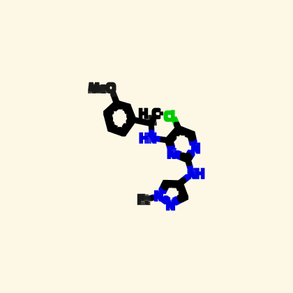 [CH2][C](Nc1nc(Nc2cnn(CC)c2)ncc1Cl)c1cccc(OC)c1